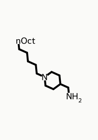 CCCCCCCCCCCCCN1CCC(CN)CC1